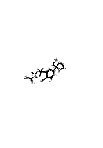 CC[CH]([Ce])[Si](C)(C)OC(C)(C)c1cc(C2(CN)CCCO2)nc(Cl)c1F